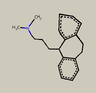 CN(C)CCCC1c2ccccc2CCc2ccccc21